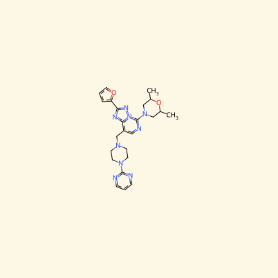 CC1CN(c2ncc(CN3CCN(c4ncccn4)CC3)c3nc(-c4ccco4)nn23)CC(C)O1